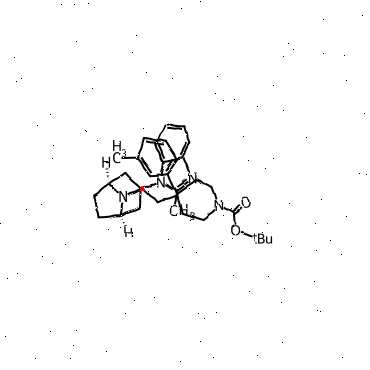 Cc1cccc(C2(CCN3[C@@H]4CC[C@H]3CC(n3c(C)nc5ccccc53)C4)CCN(C(=O)OC(C)(C)C)CC2)c1